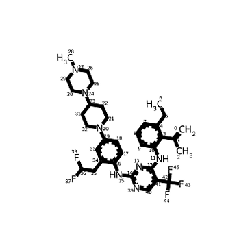 C=C(C)c1c(CC)cccc1Nc1nc(Nc2ccc(N3CCC(N4CCN(C)CC4)CC3)cc2CC(F)F)ncc1C(F)(F)F